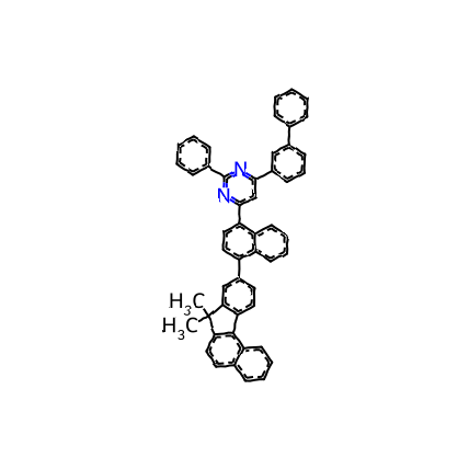 CC1(C)c2cc(-c3ccc(-c4cc(-c5cccc(-c6ccccc6)c5)nc(-c5ccccc5)n4)c4ccccc34)ccc2-c2c1ccc1ccccc21